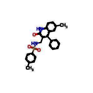 Cc1ccc(S(=O)(=O)NCc2c(-c3ccccc3)c3cc(C)ccc3[nH]c2=O)cc1